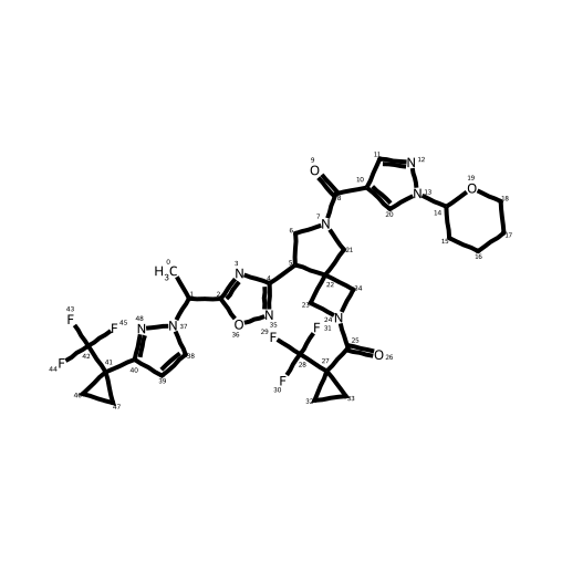 CC(c1nc(C2CN(C(=O)c3cnn(C4CCCCO4)c3)CC23CN(C(=O)C2(C(F)(F)F)CC2)C3)no1)n1ccc(C2(C(F)(F)F)CC2)n1